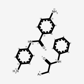 CC(=O)CC(=O)Nc1ccccc1.Nc1ccc(NC(=O)c2ccc(N)cc2)cc1